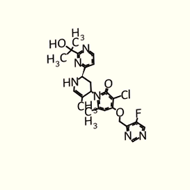 CC1=CN[C@@H](c2ccnc(C(C)(C)O)n2)C[C@H]1n1c(C)cc(OCc2ncncc2F)c(Cl)c1=O